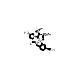 C#Cc1ccc(CNC(=O)[C@@H]2C[C@@H](O)CN2C(=O)[C@@H](NC(C)C)C(C)(C)C)c(OCCOC)c1